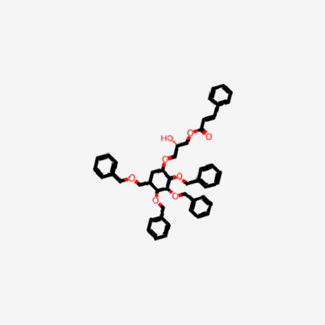 O=C(/C=C/c1ccccc1)OC[C@@H](O)COC1CC(COCc2ccccc2)C(OCc2ccccc2)C(OCc2ccccc2)C1OCc1ccccc1